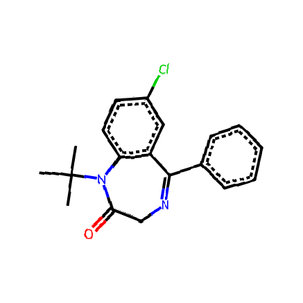 CC(C)(C)N1C(=O)CN=C(c2ccccc2)c2cc(Cl)ccc21